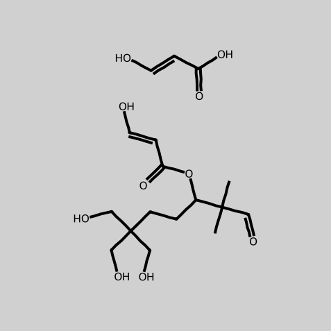 CC(C)(C=O)C(CCC(CO)(CO)CO)OC(=O)C=CO.O=C(O)C=CO